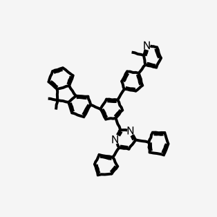 Cc1ncccc1-c1ccc(-c2cc(-c3ccc4c(c3)-c3ccccc3C4(C)C)cc(-c3nc(-c4ccccc4)cc(-c4ccccc4)n3)c2)cc1